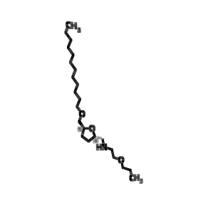 CCCCCCCCCCCCOC[C@@H]1CC[C@@H](CNCCOCCC)O1